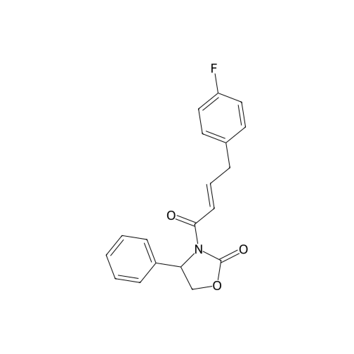 O=C(C=CCc1ccc(F)cc1)N1C(=O)OCC1c1ccccc1